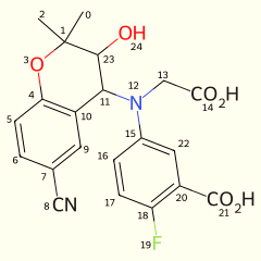 CC1(C)Oc2ccc(C#N)cc2C(N(CC(=O)O)c2ccc(F)c(C(=O)O)c2)C1O